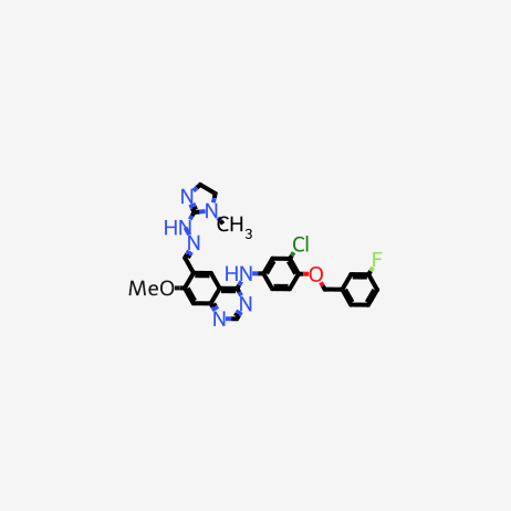 COc1cc2ncnc(Nc3ccc(OCc4cccc(F)c4)c(Cl)c3)c2cc1/C=N/NC1=NCCN1C